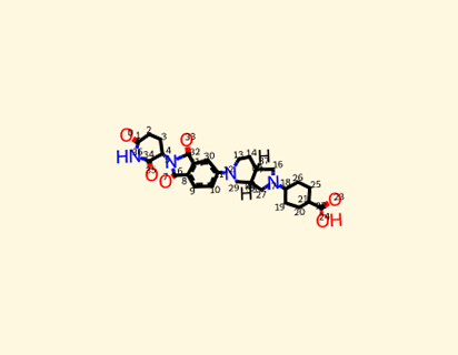 O=C1CCC(N2C(=O)c3ccc(N4CC[C@@H]5CN(C6CCC(C(=O)O)CC6)C[C@H]5C4)cc3C2=O)C(=O)N1